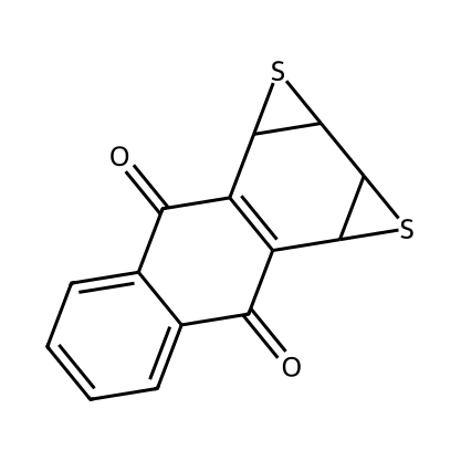 O=C1C2=C(C(=O)c3ccccc31)C1SC1C1SC21